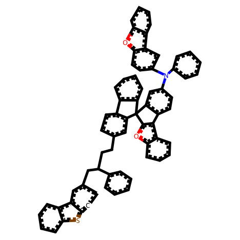 c1ccc(C(CCc2ccc3c(c2)C2(c4ccccc4-3)c3cc(N(c4ccccc4)c4ccc5oc6ccccc6c5c4)ccc3-c3c2oc2ccccc32)Cc2ccc3sc4ccccc4c3c2)cc1